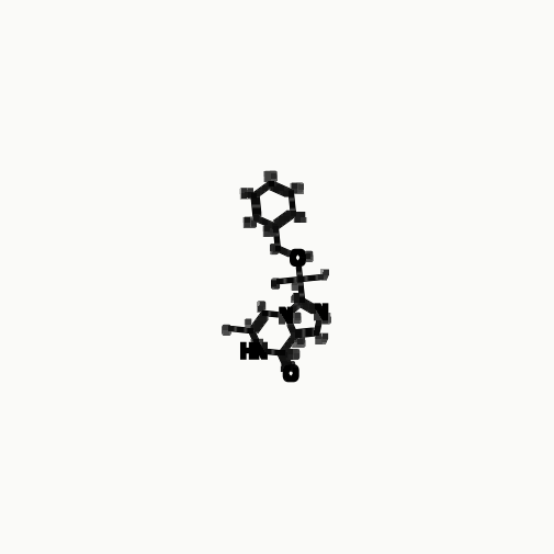 Cc1cn2c(C(C)(C)OCc3ccccc3)ncc2c(=O)[nH]1